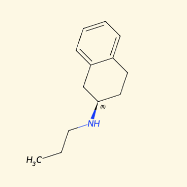 CCCN[C@@H]1CCc2ccccc2C1